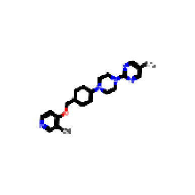 N#Cc1cnccc1OCC1CCC(N2CCN(c3ncc(C(F)(F)F)cn3)CC2)CC1